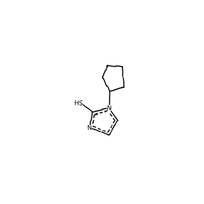 Sc1nccn1C1CCCC1